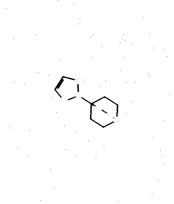 C1=CON(C23CCN(CC2)CC3)N1